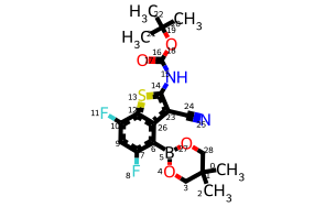 CC1(C)COB(c2c(F)cc(F)c3sc(NC(=O)OC(C)(C)C)c(C#N)c23)OC1